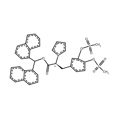 CS(=O)(=O)Oc1ccc(C[C@@H](C(=O)OC(c2cccc3ccccc23)c2cccc3ccccc23)n2cccc2)cc1OS(C)(=O)=O